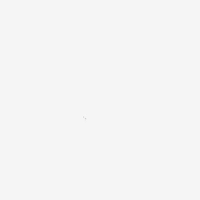 c1ccc2cc(-c3ccc(-n4c5ccccc5c5cc6c7ccccc7c7ccccc7c6cc54)cc3)ccc2c1